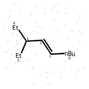 [CH2]CCCC=CC(CC)CC